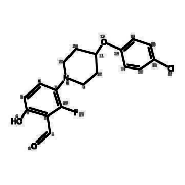 O=Cc1c(O)ccc(N2CCC(Oc3ccc(Cl)cc3)CC2)c1F